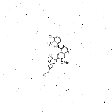 COc1cc2ncnc(Nc3cccc(Cl)c3C)c2cc1N1CC2(CN(CCF)C2)OC1=O